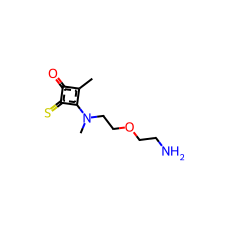 Cc1c(N(C)CCOCCN)c(=S)c1=O